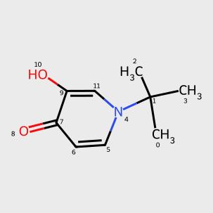 CC(C)(C)n1ccc(=O)c(O)c1